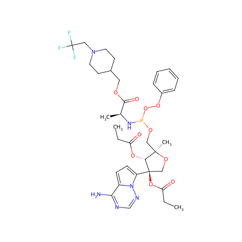 CCC(=O)O[C@@H]1[C@@](C)(COP(N[C@@H](C)C(=O)OCC2CCN(CC(F)(F)F)CC2)OOc2ccccc2)OC[C@]1(OC(=O)CC)c1ccc2c(N)ncnn12